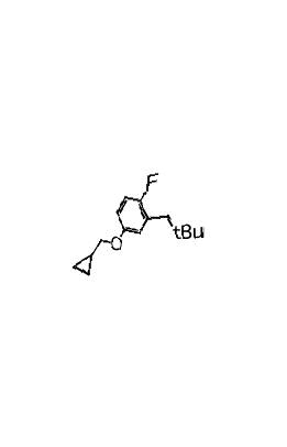 CC(C)(C)Cc1cc(OCC2CC2)ccc1F